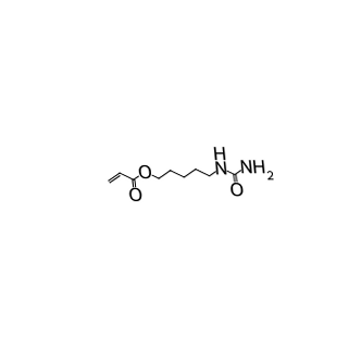 C=CC(=O)OCCCCCNC(N)=O